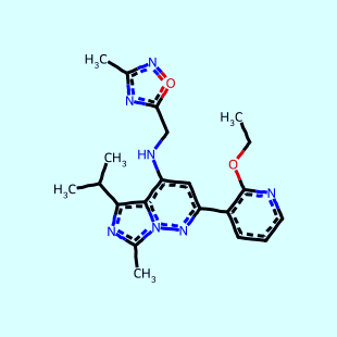 CCOc1ncccc1-c1cc(NCc2nc(C)no2)c2c(C(C)C)nc(C)n2n1